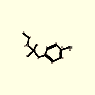 CCOC(C)(C)Cc1ccc(O)cc1